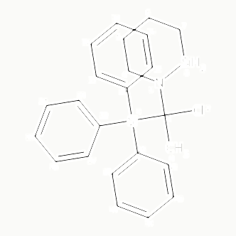 CC(Cl)(N1CCCC[SiH2]1)[Si](c1ccccc1)(c1ccccc1)c1ccccc1